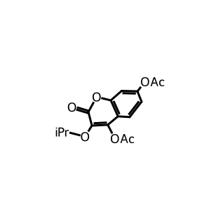 CC(=O)Oc1ccc2c(OC(C)=O)c(OC(C)C)c(=O)oc2c1